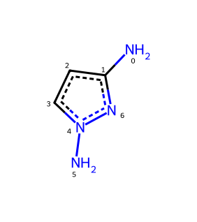 Nc1ccn(N)n1